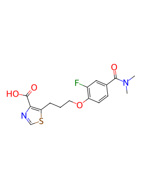 CN(C)C(=O)c1ccc(OCCCc2scnc2C(=O)O)c(F)c1